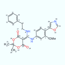 COc1cc(NC(NCCc2ccccc2)=C2C(=O)OC(C)(C)OC2=O)ccc1-c1cnco1